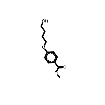 COC(=O)c1ccc(OCCCCO)cc1